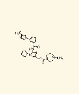 CN1CCCN(C(=O)CCc2cn(-c3ccccc3)c(NC(=O)c3cccc(-c4cnn(C)c4)c3)n2)CC1